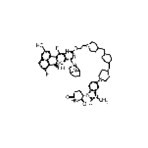 C#Cc1c(F)ccc2cc(O)cc(-c3ncc4c(N5CC6CCC(C5)N6)nc(OCCN5CCC(CN6CCC(CC7CCN(c8ccc9c(c8)n(C)c(=O)n9C8CCC(=O)NC8=O)CC7)CC6)CC5)nc4c3F)c12